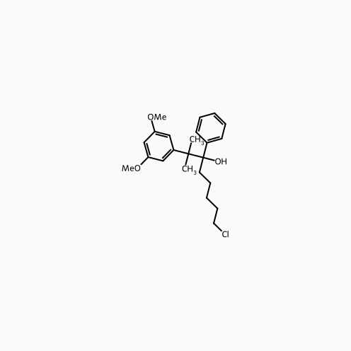 COc1cc(OC)cc(C(C)(C)C(O)(CCCCCCl)c2ccccc2)c1